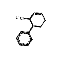 O=CC1C=CCCC1c1ccccc1